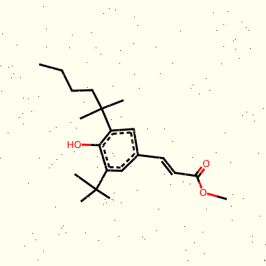 CCCCC(C)(C)c1cc(C=CC(=O)OC)cc(C(C)(C)C)c1O